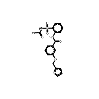 CCCC(=O)NS(=O)(=O)c1ccccc1NC(=O)c1cccc(OCc2cccs2)c1